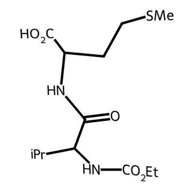 CCOC(=O)NC(C(=O)NC(CCSC)C(=O)O)C(C)C